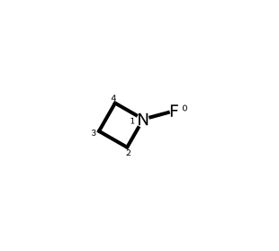 FN1CCC1